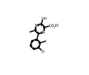 CCOC(=O)c1nc(-c2cccc(Cl)c2I)c(C)nc1O